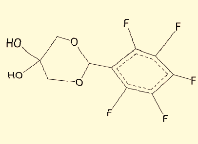 OC1(O)COC(c2c(F)c(F)c(F)c(F)c2F)OC1